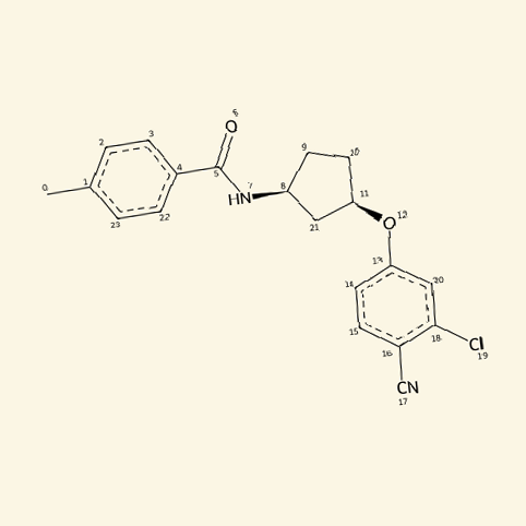 Cc1ccc(C(=O)N[C@H]2CC[C@@H](Oc3ccc(C#N)c(Cl)c3)C2)cc1